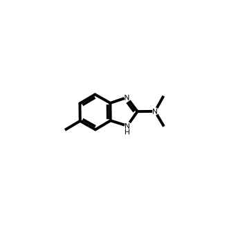 Cc1ccc2nc(N(C)C)[nH]c2c1